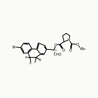 CC(C)(C)OC(=O)N1CCCC1C(=O)O[C@H](C=O)c1ccc2c(c1)C(F)(F)C(F)(F)c1cc(Br)ccc1-2